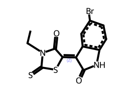 CCN1C(=O)/C(=C2/C(=O)Nc3ccc(Br)cc32)SC1=S